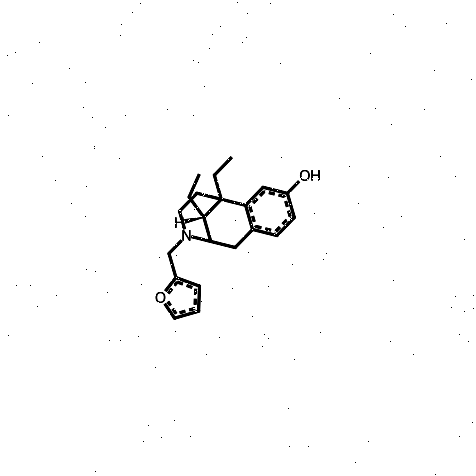 CC[C@H]1C2Cc3ccc(O)cc3C1(CC)CCN2Cc1ccco1